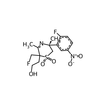 CC1=N[C@](C)(c2cc([N+](=O)[O-])ccc2F)CS(=O)(=O)C1(CF)CCO